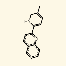 CC1=CC=C(c2ccc3cnccc3n2)NC1